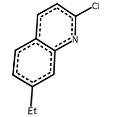 CCc1ccc2ccc(Cl)nc2c1